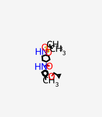 Cc1ccc(NC(=O)[C@H]2CC[C@H](NS(=O)(=O)C(C)C)CC2)cc1OCC1CC1